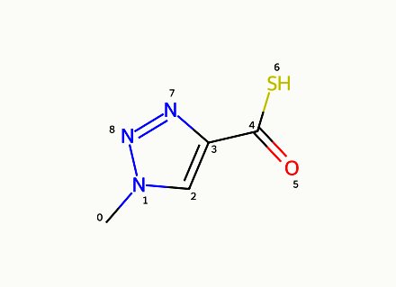 Cn1cc(C(=O)S)nn1